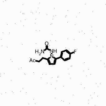 CC(=O)CCc1ccc(-c2ccc(F)cc2)n1NC(N)=O